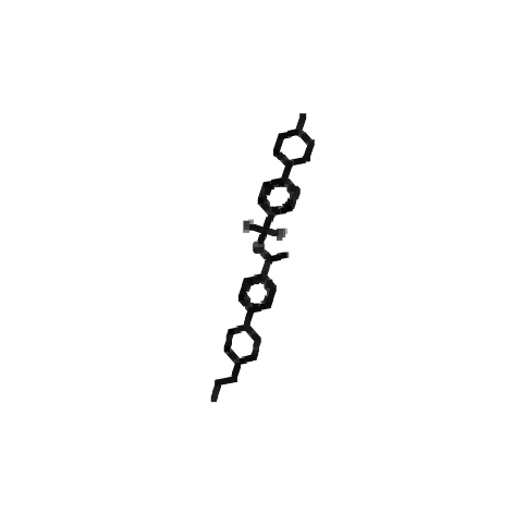 CCCC1CCC(c2ccc(C(C)OC(F)(F)c3ccc(C4CCC(C)CC4)cc3)cc2)CC1